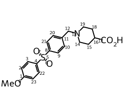 COc1ccc(S(=O)(=O)c2ccc(CN3CCC(C(=O)O)CC3)cc2)cc1